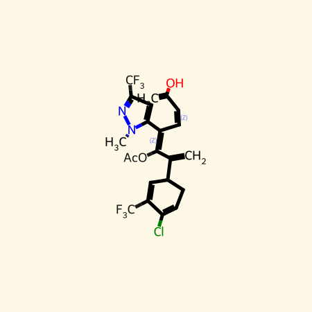 C=C(O)/C=C\C(=C(\OC(C)=O)C(=C)C1C=C(C(F)(F)F)C(Cl)=CC1)c1cc(C(F)(F)F)nn1C